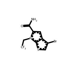 NC(=O)c1cc2c(Br)csc2n1CC(F)(F)F